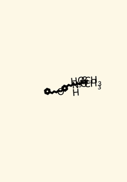 CC(C)(C)OC(=O)CCNCCCc1ccc(OCCCCc2ccccc2)cc1